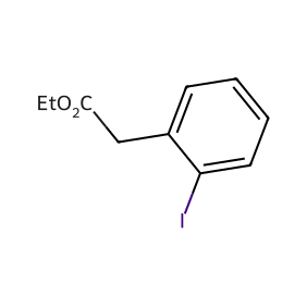 CCOC(=O)Cc1ccccc1I